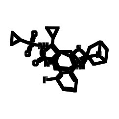 O=C(NS(=O)(=O)C1CC1)c1ccc2nc(N3C4CC(NCc5c(-c6c(F)cccc6F)noc5C5CC5)CC3C4)sc2c1